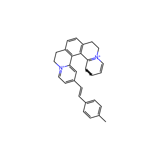 Cc1ccc(/C=C/c2cc[n+]3c(c2)-c2c(ccc4c2-c2c5ccccc5cc[n+]2CC4)CC3)cc1